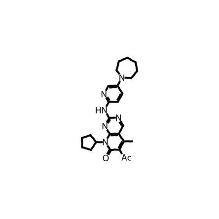 CC(=O)c1c(C)c2cnc(Nc3ccc(N4CCCCCC4)cn3)nc2n(C2CCCC2)c1=O